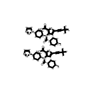 CC(C)(C)C#Cc1cc(N(C(=O)[C@H]2CC[C@H](C)CC2)[C@H]2CC[C@@H](n3ccnn3)CC2)c(C(=O)O)s1.CC(C)(C)C#Cc1cc(N(C(=O)[C@H]2CC[C@H](C)CC2)[C@H]2CC[C@H](n3ccnn3)CC2)c(C(=O)O)s1